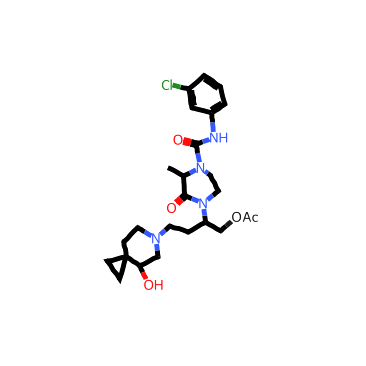 CC(=O)OCC(CCN1CCC2(CC2)C(O)C1)N1CCN(C(=O)Nc2cccc(Cl)c2)C(C)C1=O